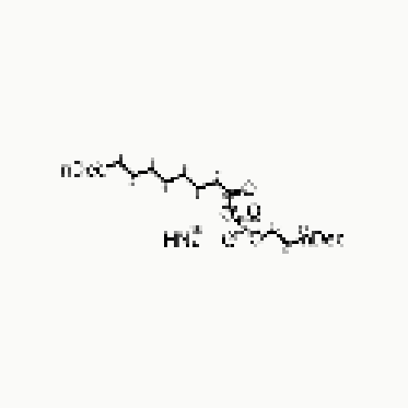 CCCCCCCCCCCCCCCCCC(=O)OS(=O)(=O)OCCCCCCCCCCCC.[NaH]